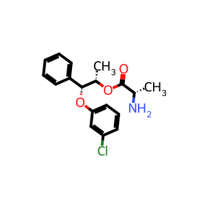 C[C@H](N)C(=O)O[C@@H](C)[C@H](Oc1cccc(Cl)c1)c1ccccc1